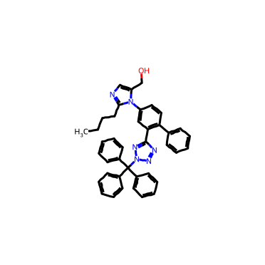 CCCCc1ncc(CO)n1-c1ccc(-c2ccccc2)c(-c2nnn(C(c3ccccc3)(c3ccccc3)c3ccccc3)n2)c1